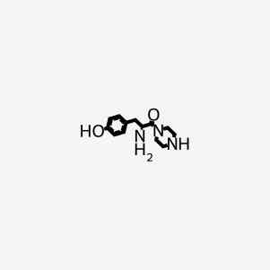 N[C@@H](Cc1ccc(O)cc1)C(=O)N1CCNCC1